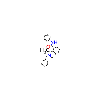 C=C1C2C(C=CC[C@@H]2C(=O)Nc2ccccc2)CCN1Cc1ccccc1